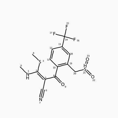 CNC(SC)=C(C#N)C(=O)c1ccc(C(F)(F)F)cc1C[SH](=O)=O